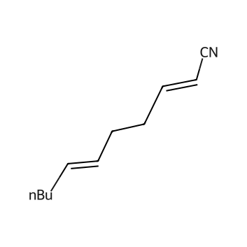 CCCC/C=C/CC/C=C/C#N